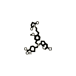 COc1cc(CN(CC2CCC(C(=O)O)CC2)C2CCc3cc(Cl)ccc32)ccc1CCCN1C(=O)CCC1=O